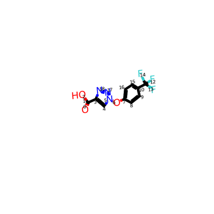 O=C(O)c1cn(Oc2ccc(C(F)(F)F)cc2)nn1